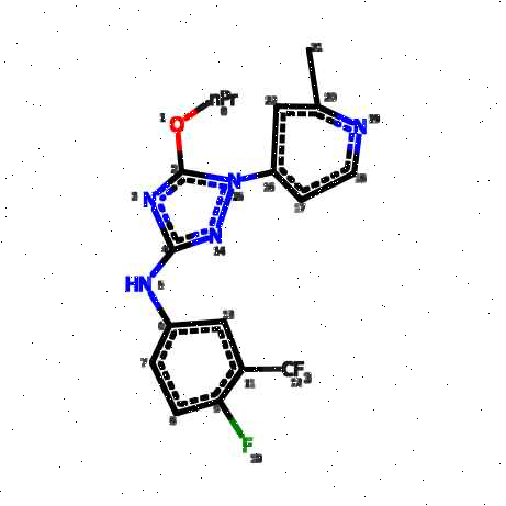 CCCOc1nc(Nc2ccc(F)c(C(F)(F)F)c2)nn1-c1ccnc(C)c1